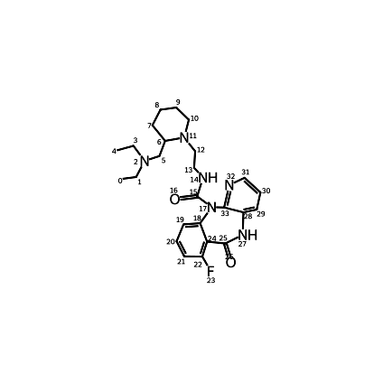 CCN(CC)CC1CCCCN1CCNC(=O)N1c2cccc(F)c2C(=O)Nc2cccnc21